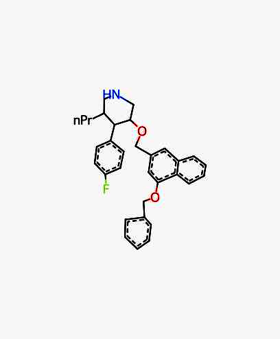 CCCC1CNCC(OCc2cc(OCc3ccccc3)c3ccccc3c2)C1c1ccc(F)cc1